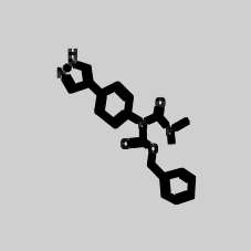 CN(C)C(=O)N(C(=O)OCc1ccccc1)c1ccc(-c2cn[nH]c2)cc1